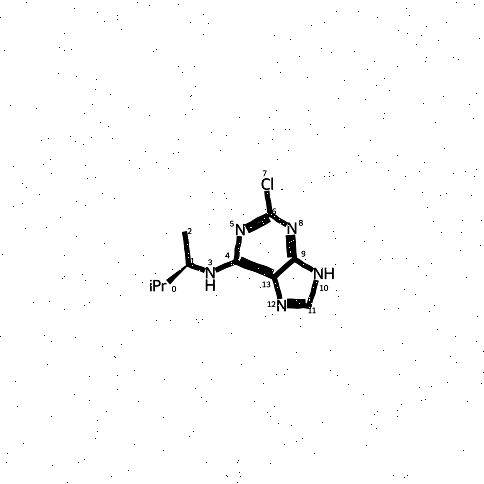 CC(C)[C@@H](C)Nc1nc(Cl)nc2[nH]cnc12